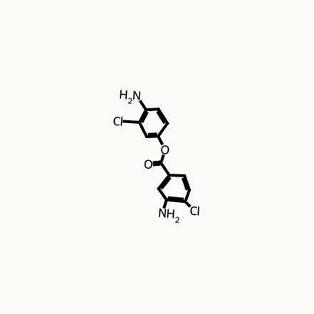 Nc1cc(C(=O)Oc2ccc(N)c(Cl)c2)ccc1Cl